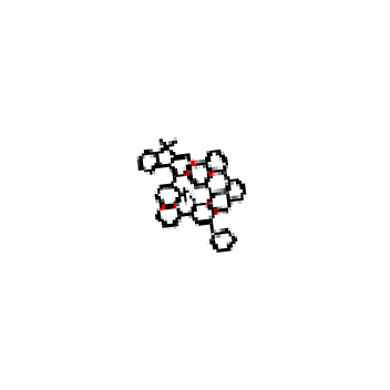 CC1(C)c2ccccc2-c2c(-c3ccccc3N(c3ccc(-c4ccccc4)cc3-c3ccccc3)c3ccccc3-c3cccc4cccc(-c5ccccc5)c34)cccc21